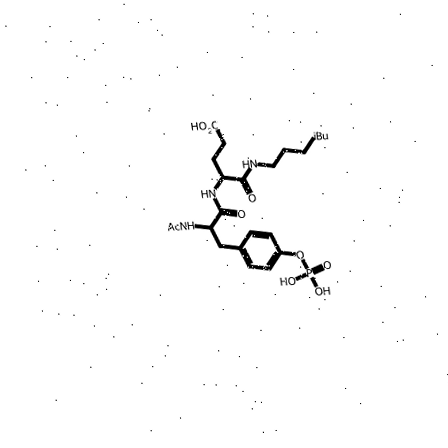 CCC(C)CCCNC(=O)C(CCC(=O)O)NC(=O)C(Cc1ccc(OP(=O)(O)O)cc1)NC(C)=O